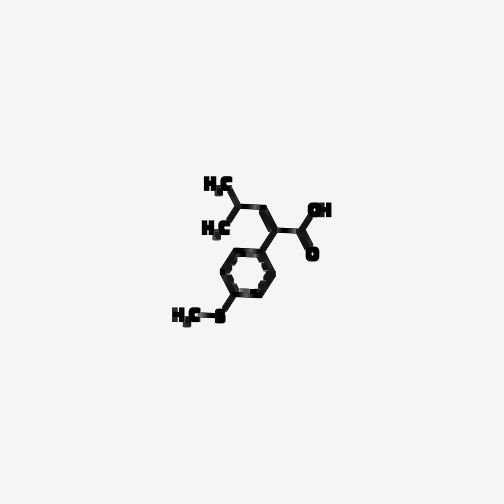 CSc1ccc(/C(=C\C(C)C)C(=O)O)cc1